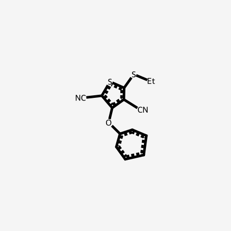 CCSc1sc(C#N)c(Oc2ccccc2)c1C#N